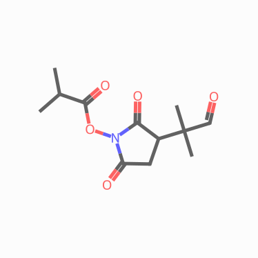 CC(C)C(=O)ON1C(=O)CC(C(C)(C)C=O)C1=O